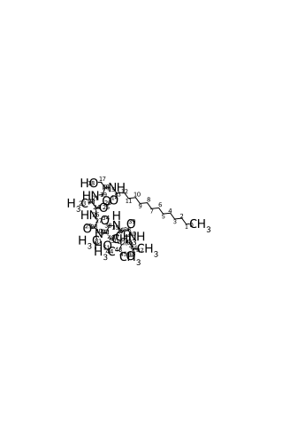 CCCCCCCCCCCCCC(=O)N[C@H](CO)C(=O)N[C@H](C)C(=O)NCC(=O)N(C)[C@H](C(=O)N[C@@H](C)C(=O)N[C@@H](CC(C)C)C(C)=O)C(C)O